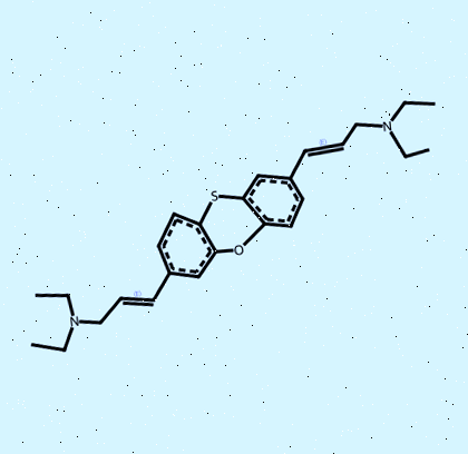 CCN(CC)C/C=C/c1ccc2c(c1)Oc1ccc(/C=C/CN(CC)CC)cc1S2